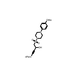 CCCCCC#C[C](O)CS(=O)(=O)N1CCN(c2ccc(OC)cc2)CC1